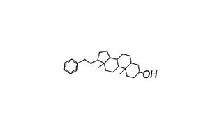 CC12CCC(O)CC1CCC1C2CCC2(C)C1CC[C@@H]2CCc1ccccc1